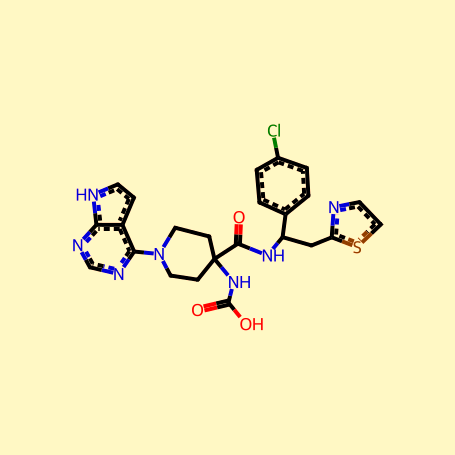 O=C(O)NC1(C(=O)NC(Cc2nccs2)c2ccc(Cl)cc2)CCN(c2ncnc3[nH]ccc23)CC1